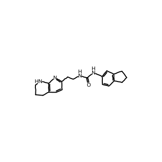 O=C(NCCc1ccc2c(n1)NCCC2)Nc1ccc2c(c1)CCC2